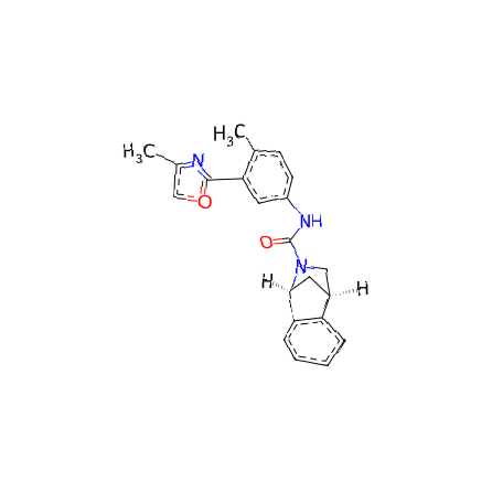 Cc1coc(-c2cc(NC(=O)N3C[C@@H]4C[C@H]3c3ccccc34)ccc2C)n1